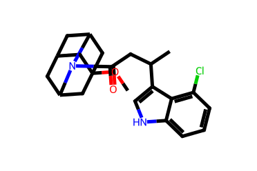 COC12CC3CC(C1)N(C(=O)CC(C)c1c[nH]c4cccc(Cl)c14)C(C3)C2